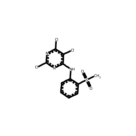 CS(=O)(=O)c1ccccc1Nc1nc(Cl)nc(Cl)c1Cl